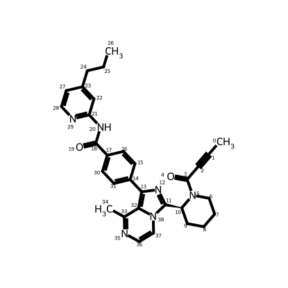 CC#CC(=O)N1CCCC[C@H]1c1nc(-c2ccc(C(=O)Nc3cc(CCC)ccn3)cc2)c2c(C)nccn12